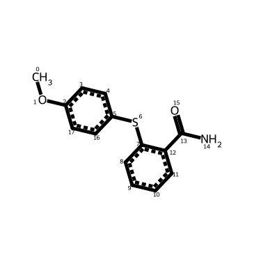 COc1ccc(Sc2ccccc2C(N)=O)cc1